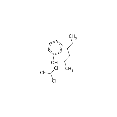 CCCCCC.ClC(Cl)Cl.Oc1ccccc1